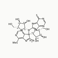 CSc1ncnc2c1N=C(N)[N+]2([C@@H]1O[C@H](CO)[C@@H](O)[C@H]1O)N(C1=NC2=NC=NC(=S)C2=N1)[C@@H]1O[C@H](CO)[C@@H](O)[C@H]1O